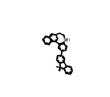 CC1(C)c2ccccc2-c2cc(-c3ccc4c(c3)-c3cc(cc5ccccc35)CCN4)ccc21